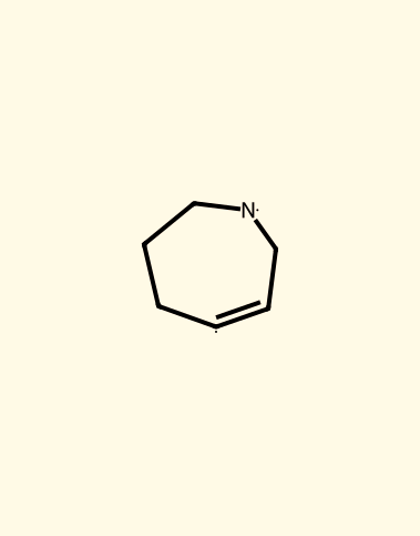 [C]1=CC[N]CCC1